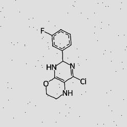 Fc1cccc(C2N=C(Cl)C3=C(N2)OCCN3)c1